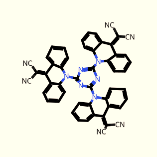 N#CC(C#N)=C1c2ccccc2N(c2nc(N3c4ccccc4C(=C(C#N)C#N)c4ccccc43)nc(N3c4ccccc4C(=C(C#N)C#N)c4ccccc43)n2)c2ccccc21